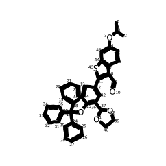 CC(C)Oc1ccc2c(C=O)c(-c3ccc(OC(c4ccccc4)(c4ccccc4)c4ccccc4)c(C4OCCO4)c3)sc2c1